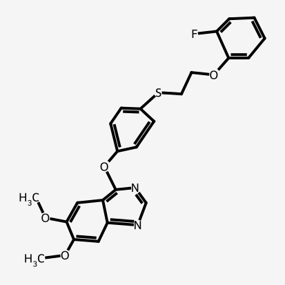 COc1cc2ncnc(Oc3ccc(SCCOc4ccccc4F)cc3)c2cc1OC